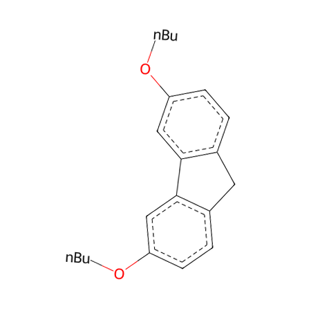 CCCCOc1ccc2c(c1)-c1cc(OCCCC)ccc1C2